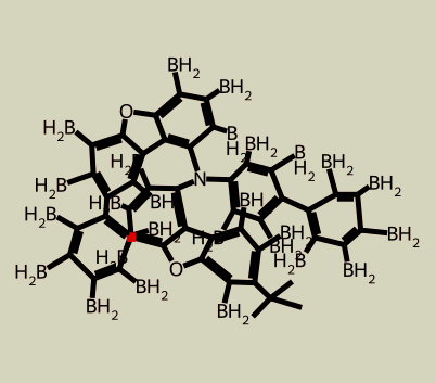 Bc1c(B)c(B)c(-c2c(B)c(B)c(N(c3c(B)c(B)c(B)c4oc5c(B)c(C(C)(C)C)c(B)c(B)c5c34)c3c(B)c(B)c(B)c4oc5c(B)c(B)c(-c6c(B)c(B)c(B)c(B)c6B)c(B)c5c34)c(B)c2B)c(B)c1B